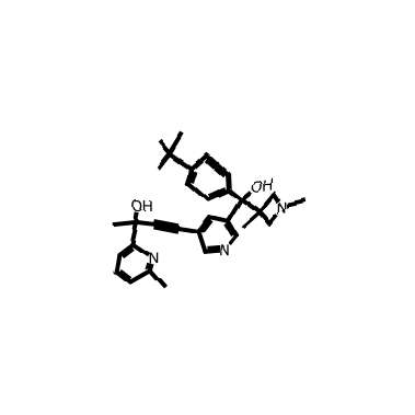 Cc1cccc(C(C)(O)C#Cc2cncc(C(O)(c3ccc(C(C)(C)C)cc3)C3(C)CN(C)C3)c2)n1